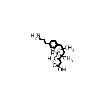 CC(CC(=O)O)C(C)(C)CC(C)(C)Cc1ccc(CCCN)cc1